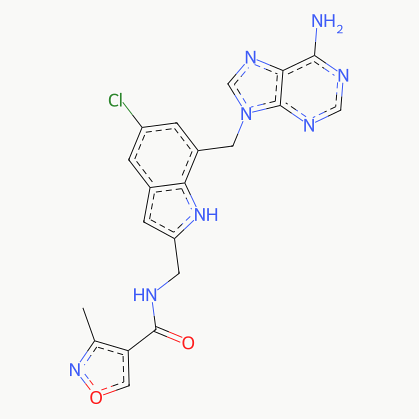 Cc1nocc1C(=O)NCc1cc2cc(Cl)cc(Cn3cnc4c(N)ncnc43)c2[nH]1